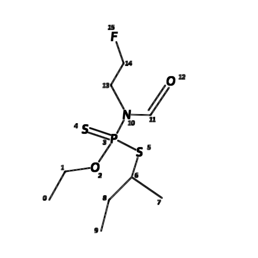 CCOP(=S)(SC(C)CC)N(C=O)CCF